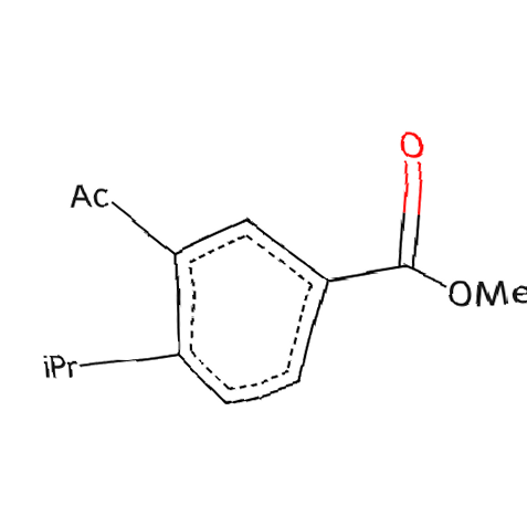 COC(=O)c1ccc(C(C)C)c(C(C)=O)c1